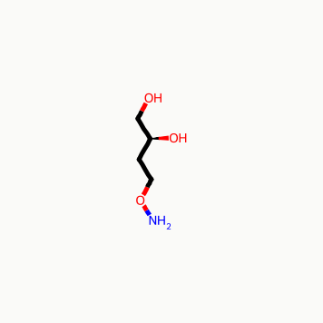 NOCC[C@H](O)CO